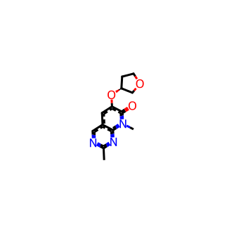 Cc1ncc2cc(O[C@H]3CCOC3)c(=O)n(C)c2n1